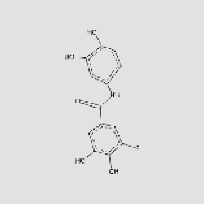 O=C(Nc1ccc(O)c(O)c1)c1cc(O)c(O)c(F)c1